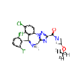 [2H]C([2H])([2H])OC1CN(C(=O)c2nc3n(n2)-c2ccc(Cl)c(Cl)c2C(c2c(F)cccc2F)=N[C@H]3C)C1